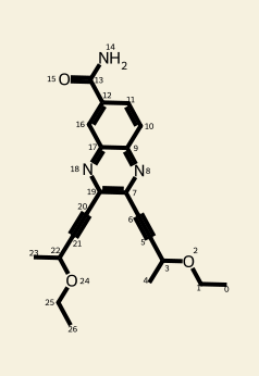 CCOC(C)C#Cc1nc2ccc(C(N)=O)cc2nc1C#CC(C)OCC